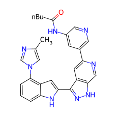 CCCCC(=O)Nc1cncc(-c2cc3c(-c4cc5c(-n6cnc(C)c6)cccc5[nH]4)n[nH]c3cn2)c1